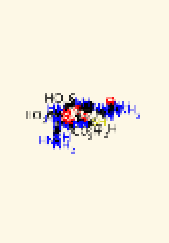 N=C(N)NCCC[C@H](NC(=O)[C@H](CC(=O)O)NC(=O)CC[C@H](NC(=O)c1ccc(NCc2cnc3nc(N)[nH]c(=O)c3n2)cc1)C(=O)O)C(=O)N[C@@H](CC(=O)O)C(=O)N[C@@H](CC(=O)O)C(=O)N[C@@H](CS)C(=O)O